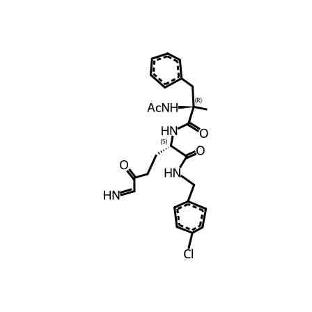 CC(=O)N[C@](C)(Cc1ccccc1)C(=O)N[C@@H](CCC(=O)C=N)C(=O)NCc1ccc(Cl)cc1